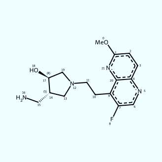 COc1ccc2ncc(F)c(CCN3C[C@H](CN)[C@@H](O)C3)c2n1